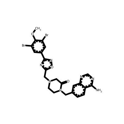 COc1c(Br)cc(-c2noc(CN3CCN(Cc4ccc5c(N)ncnc5c4)C(=O)C3)n2)cc1Br